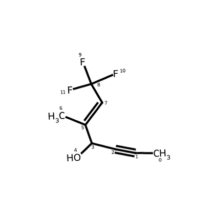 CC#CC(O)C(C)=CC(F)(F)F